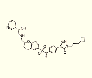 O=c1n(CCCC2CCC2)nnn1-c1ccc(NS(=O)(=O)c2ccc3c(c2)CCC(CNCC(O)c2cccnc2)O3)cc1